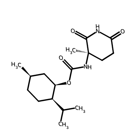 CC(C)[C@H]1CC[C@@H](C)C[C@H]1OC(=O)N[C@]1(C)CCC(=O)NC1=O